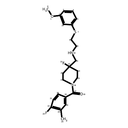 COc1cccc(SCCNCC2(F)CCN(C(=O)c3ccc(F)c(C)c3)CC2)c1